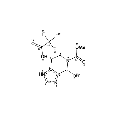 CCCC1c2nc[nH]c2CCN1C(=O)OC.O=C(O)C(F)(F)F